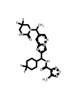 Cc1nonc1C(=O)NC(c1cn2ncc(C(C)N3CC(F)(F)CNC3=O)cc2n1)C1CCC(F)(F)CC1